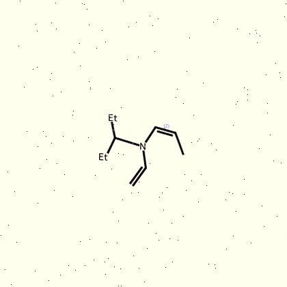 C=CN(/C=C\C)C(CC)CC